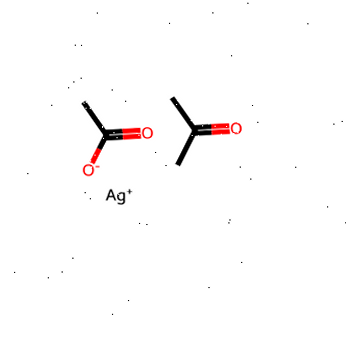 CC(=O)[O-].CC(C)=O.[Ag+]